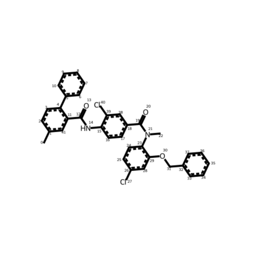 Cc1ccc(-c2ccccc2)c(C(=O)Nc2ccc(C(=O)N(C)c3ccc(Cl)cc3OCc3ccccc3)cc2Cl)c1